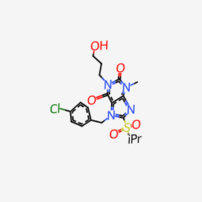 CC(C)S(=O)(=O)c1nc2c(c(=O)n(CCCO)c(=O)n2C)n1Cc1ccc(Cl)cc1